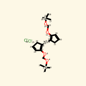 C[Si](C)(C)OCOC1=[C]([Zr+2][C]2=C(OCO[Si](C)(C)C)C=CC2)CC=C1.[Cl-].[Cl-]